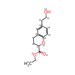 CCOC(=O)C1CCc2cc(CCO)ccc2O1